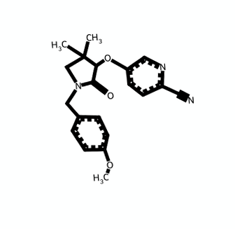 COc1ccc(CN2CC(C)(C)C(Oc3ccc(C#N)nc3)C2=O)cc1